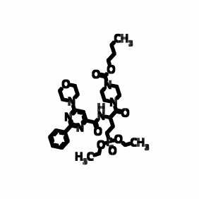 CCCCOC(=O)N1CCN(C(=O)C(CCP(=O)(OCC)OCC)NC(=O)c2cc(N3CCOCC3)nc(-c3ccccc3)n2)CC1